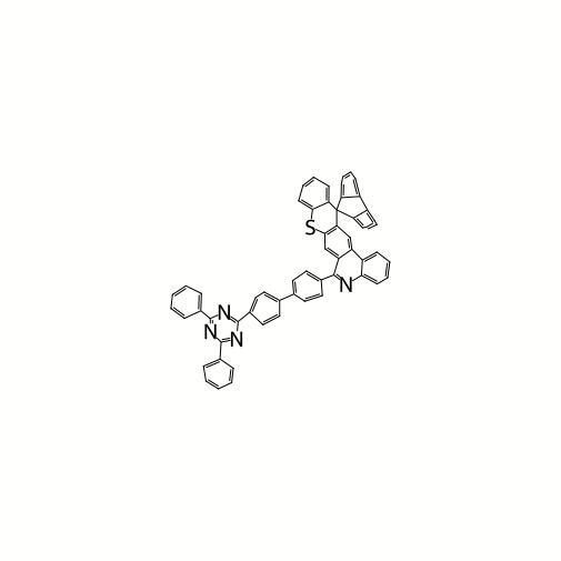 c1ccc(-c2nc(-c3ccccc3)nc(-c3ccc(-c4ccc(-c5nc6ccccc6c6cc7c(cc56)Sc5ccccc5C75c6ccccc6-c6ccccc65)cc4)cc3)n2)cc1